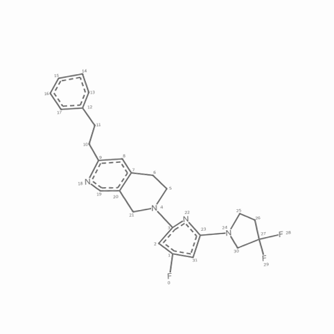 Fc1cc(N2CCc3cc(CCc4ccccc4)ncc3C2)nc(N2CCC(F)(F)C2)c1